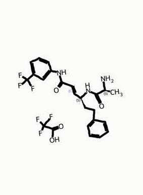 C[C@H](N)C(=O)N[C@H](/C=C/C(=O)Nc1cccc(C(F)(F)F)c1)CCc1ccccc1.O=C(O)C(F)(F)F